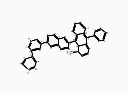 CC1C=CC=C2C(c3ccccc3)=c3ccccc3=C(c3ccc4cc(-c5cncc(-c6ccncc6)c5)ccc4c3)C21